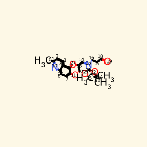 Cc1ccc2c3c(ccc2n1)OCC(CN(CCC=O)C(=O)OC(C)(C)C)O3